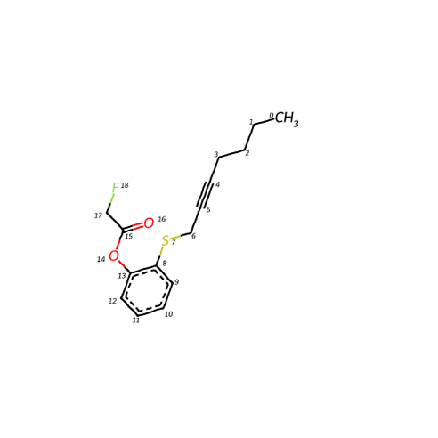 CCCCC#CCSc1ccccc1OC(=O)CF